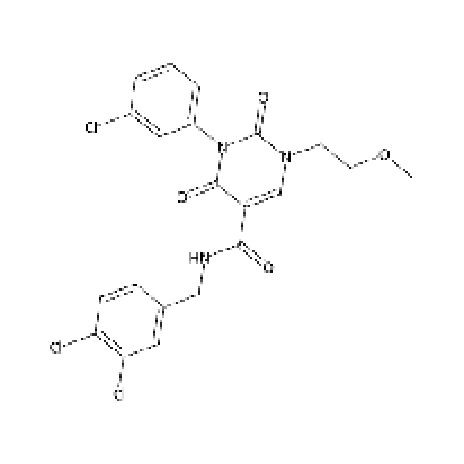 COCCn1cc(C(=O)NCc2ccc(Cl)c(Cl)c2)c(=O)n(-c2cccc(Cl)c2)c1=O